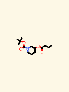 CCCC(=O)OC1CCCN(C(=O)OC(C)(C)C)C1